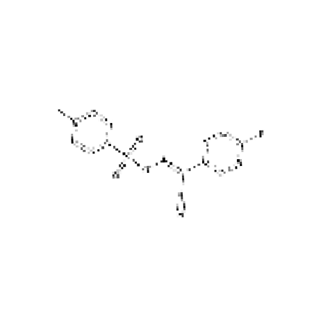 Cc1ccc(S(=O)(=O)O/N=C(\C#N)c2ccc(F)cc2)cc1